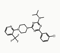 CC(C)N(C)c1nc(-c2cccc(Cl)c2)nc(N2CCN(c3ncccc3C(F)(F)F)CC2)n1